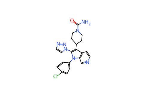 NC(=O)N1CCC(c2c(-n3ccnn3)n(-c3ccc(Cl)cc3)c3cnccc23)CC1